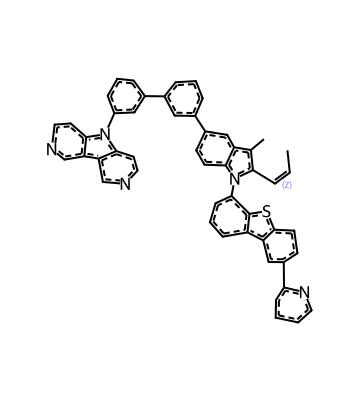 C/C=C\c1c(C)c2cc(-c3cccc(-c4cccc(-n5c6ccncc6c6cnccc65)c4)c3)ccc2n1-c1cccc2c1sc1ccc(-c3ccccn3)cc12